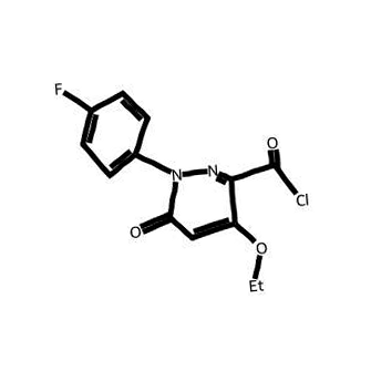 CCOc1cc(=O)n(-c2ccc(F)cc2)nc1C(=O)Cl